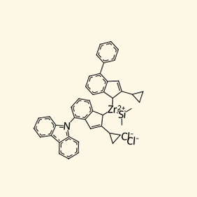 C[Si](C)=[Zr+2]([CH]1C(C2CC2)=Cc2c(-c3ccccc3)cccc21)[CH]1C(C2CC2)=Cc2c1cccc2-n1c2ccccc2c2ccccc21.[Cl-].[Cl-]